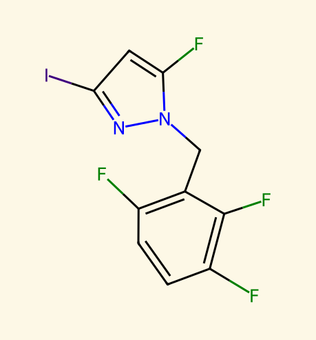 Fc1ccc(F)c(Cn2nc(I)cc2F)c1F